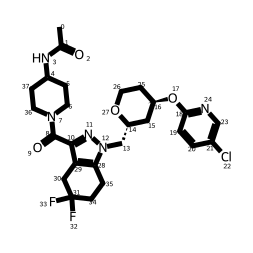 CC(=O)NC1CCN(C(=O)c2nn(C[C@H]3C[C@H](Oc4ccc(Cl)cn4)CCO3)c3c2CC(F)(F)CC3)CC1